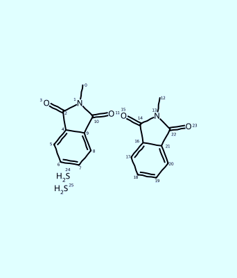 CN1C(=O)c2ccccc2C1=O.CN1C(=O)c2ccccc2C1=O.S.S